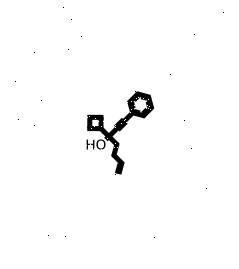 C=CCCC(O)(C#Cc1ccccc1)C1CCC1